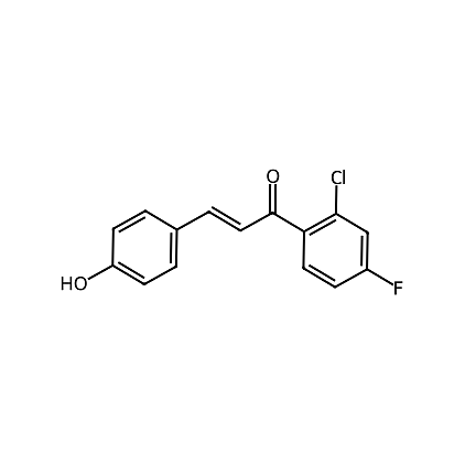 O=C(/C=C/c1ccc(O)cc1)c1ccc(F)cc1Cl